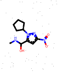 CNC(O)c1cc([N+](=O)[O-])nn1C1CCCC1